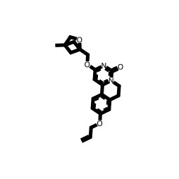 C=CCOc1ccc2c(c1)CCn1c-2cc(OCC23CC(C)(CO2)C3)nc1=O